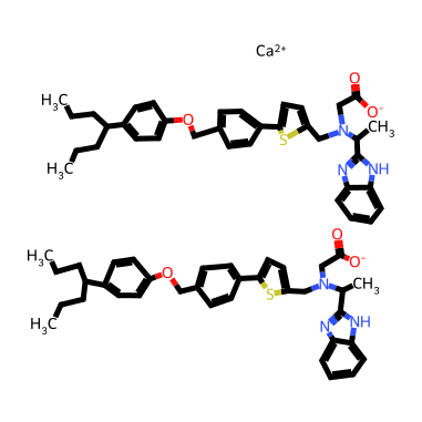 CCCC(CCC)c1ccc(OCc2ccc(-c3ccc(CN(CC(=O)[O-])C(C)c4nc5ccccc5[nH]4)s3)cc2)cc1.CCCC(CCC)c1ccc(OCc2ccc(-c3ccc(CN(CC(=O)[O-])C(C)c4nc5ccccc5[nH]4)s3)cc2)cc1.[Ca+2]